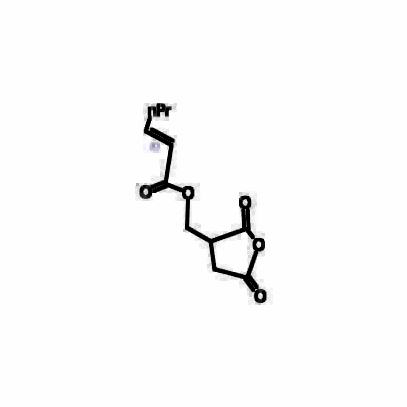 CCC/C=C/C(=O)OCC1CC(=O)OC1=O